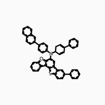 C1=CC(N(c2ccc(-c3ccc4ccccc4c3)cc2)c2cc3c4cc(-c5ccccc5)ccc4sc3c3c2oc2ccccc23)CC=C1c1ccccc1